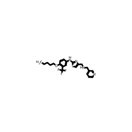 CCCCCOc1ccc(Nc2nc(CNCc3cccnc3)cs2)cc1C(F)(F)F